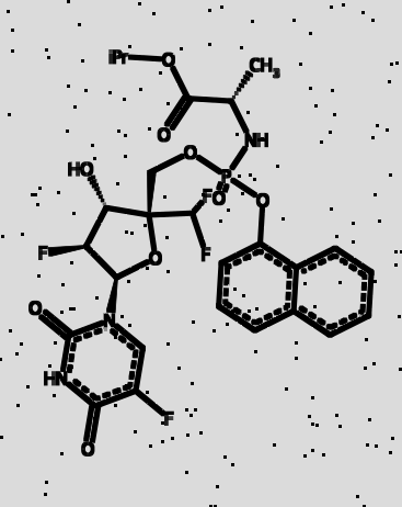 CC(C)OC(=O)[C@H](C)NP(=O)(OC[C@@]1(C(F)F)O[C@@H](n2cc(F)c(=O)[nH]c2=O)[C@@H](F)[C@@H]1O)Oc1cccc2ccccc12